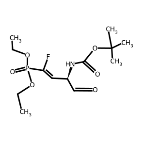 CCOP(=O)(OCC)/C(F)=C/[C@H](C=O)NC(=O)OC(C)(C)C